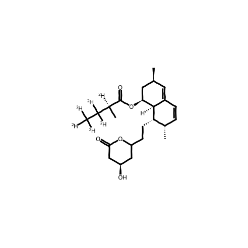 [2H]C([2H])([2H])C([2H])([2H])[C@]([2H])(C)C(=O)O[C@H]1C[C@@H](C)C=C2C=C[C@H](C)[C@H](CCC3C[C@@H](O)CC(=O)O3)[C@H]21